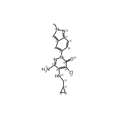 Cn1cc2cc(-n3nc(N)c(NCC4CC4)c(Cl)c3=O)ccc2n1